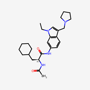 BC(=O)N[C@@H](CC1CCCCC1)C(=O)Nc1ccc2c(CN3CCCC3)cn(CC)c2c1